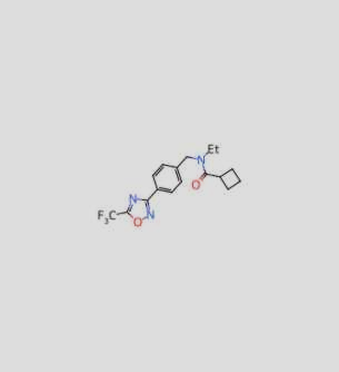 CCN(Cc1ccc(-c2noc(C(F)(F)F)n2)cc1)C(=O)C1CCC1